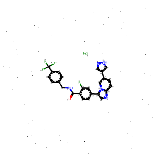 Cl.O=C(NCc1ccc(C(F)(F)F)cc1)c1ccc(-c2cnc3ccc(-c4cn[nH]c4)cn23)cc1F